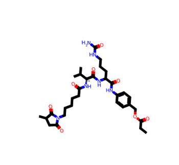 CCC(=O)OCc1ccc(NC(=O)C(CCCNC(N)=O)NC(=O)[C@@H](NC(=O)CCCCCN2C(=O)CC(C)C2=O)C(C)C)cc1